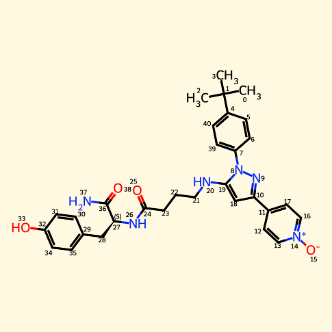 CC(C)(C)c1ccc(-n2nc(-c3cc[n+]([O-])cc3)cc2NCCCC(=O)N[C@@H](Cc2ccc(O)cc2)C(N)=O)cc1